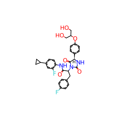 O=C(Nc1ccc(C2CC2)cc1F)C(Cc1ccc(F)cc1)N1C(=O)N[C@H](c2ccc(OC(CO)CO)cc2)C1=O